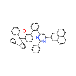 C1=Cc2cc(-c3cc(-c4ccccc4-c4cccc5c4Oc4ccccc4C54c5ccccc5-c5ccccc54)nc(-c4ccccc4)n3)cc3cccc(c23)C1